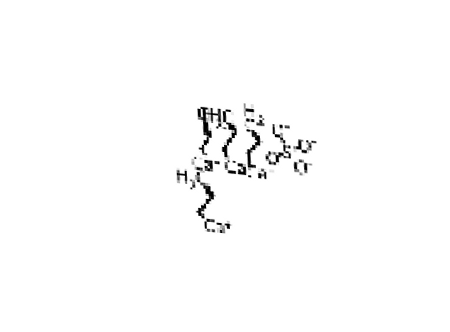 C=C[CH2][Ca+].C=C[CH2][Ca+].C=C[CH2][Ca+].C=C[CH2][Ca+].[O-][Si]([O-])([O-])[O-]